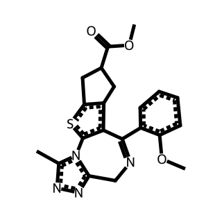 COC(=O)C1Cc2sc3c(c2C1)C(c1ccccc1OC)=NCc1nnc(C)n1-3